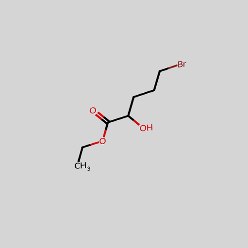 CCOC(=O)C(O)CCCBr